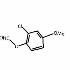 COc1ccc(OC=O)c(Cl)c1